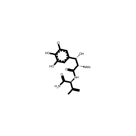 C=C(C)[C@H](NC(=O)[C@@H](NC)[C@@H](O)c1cc(O)c(O)c(Cl)c1)C(N)=O